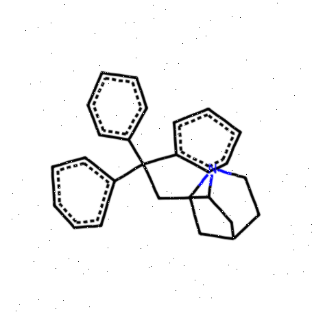 c1ccc(C(CC2CC3CCN2CC3)(c2ccccc2)c2ccccc2)cc1